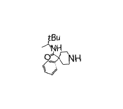 C[C@H](NC(=O)C1(c2ccccc2)CCNCC1)C(C)(C)C